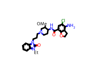 CCn1c(=O)n(CCCN2CCC(NC(=O)c3cc(Cl)c(N)c4c3OCC4)C(OC)C2)c2ccccc21